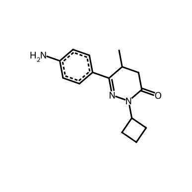 CC1CC(=O)N(C2CCC2)N=C1c1ccc(N)cc1